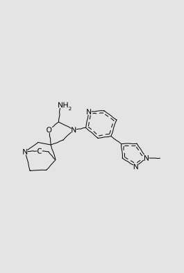 Cn1cc(-c2ccnc(N3CC4(CN5CCC4CC5)OC3N)c2)cn1